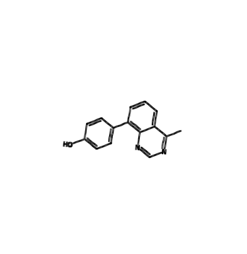 Cc1ncnc2c(-c3ccc(O)cc3)cccc12